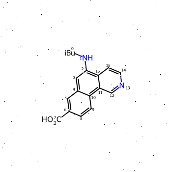 CCC(C)Nc1cc2cc(C(=O)O)ccc2c2cnccc12